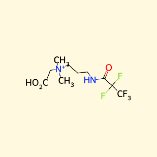 C[N+](C)(CCCNC(=O)C(F)(F)C(F)(F)F)CC(=O)O